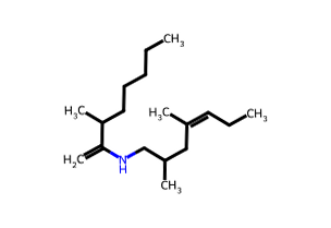 C=C(NCC(C)C/C(C)=C\CC)C(C)CCCCC